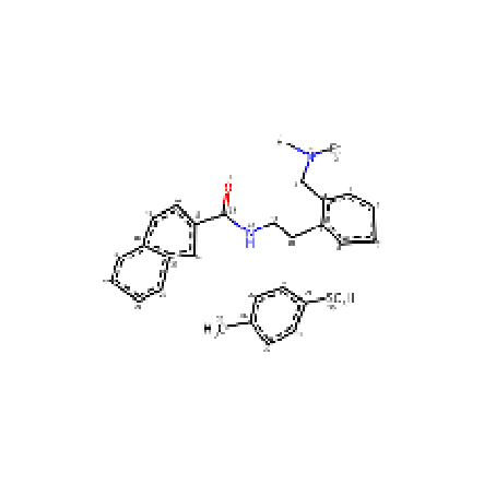 CCN(CC)Cc1ccccc1CCNC(=O)c1ccc2ccccc2c1.Cc1ccc(S(=O)(=O)O)cc1